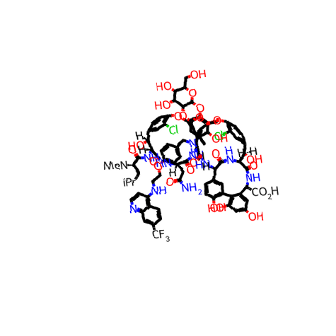 CN[C@H](CC(C)C)C(=O)N[C@H]1C(=O)N[C@@H](CC(N)=O)C(=O)N[C@H]2C(=O)N[C@H]3C(=O)N[C@H](C(=O)NC(C(=O)O)c4cc(O)cc(O)c4-c4cc3ccc4O)[C@H](O)c3ccc(c(Cl)c3)Oc3cc2cc(c3OC2OC(CO)C(O)C(O)C2OC2CC(C)(NCc3ccc(OCCNc4ccnc5cc(C(F)(F)F)ccc45)cc3)C(O)C(C)O2)Oc2ccc(cc2Cl)[C@H]1O